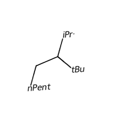 CCCCCCC([C](C)C)C(C)(C)C